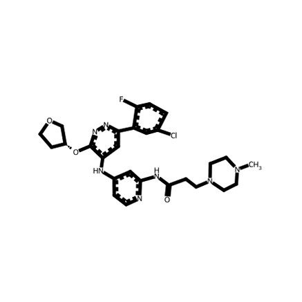 CN1CCN(CCC(=O)Nc2cc(Nc3cc(-c4cc(Cl)ccc4F)nnc3O[C@@H]3CCOC3)ccn2)CC1